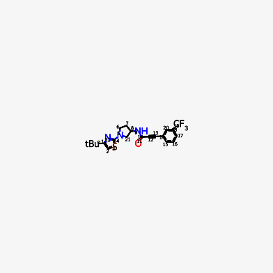 CC(C)(C)c1csc(N2CCC(NC(=O)C#Cc3cccc(C(F)(F)F)c3)C2)n1